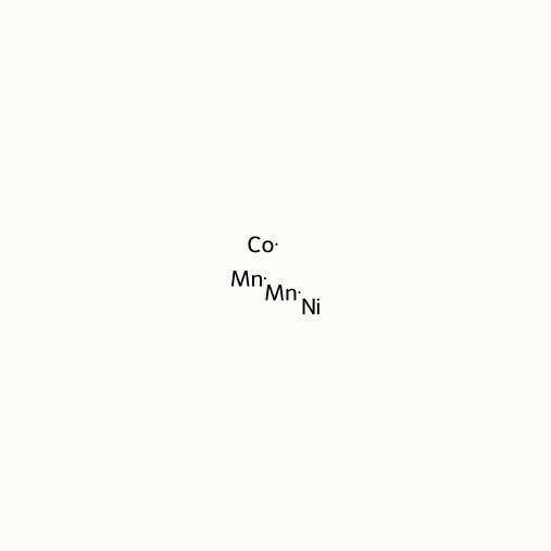 [Co].[Mn].[Mn].[Ni]